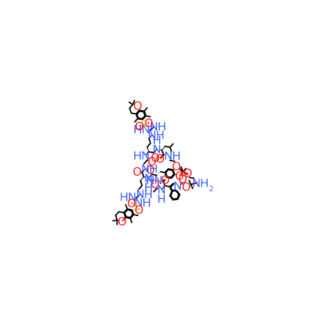 CC(=O)NC(C(=O)N[C@@H](Cc1ccc(OC(C)(C)C)cc1)C(=O)N[C@@H](CCCNC(=N)NS(=O)(=O)c1c(C)c(C)c2c(c1C)CCC(C)(C)O2)C(=O)NCC(=O)N[C@@H](CCCNC(=N)NS(=O)(=O)c1c(C)c(C)c2c(c1C)CCC(C)(C)O2)C(=O)N[C@@H](CC(C)C)C(=O)NCCOCCOCCN)c1cn(C(=O)OC(C)(C)C)c2ccccc12